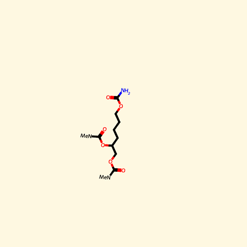 CNC(=O)OCC(CCCCOC(N)=O)OC(=O)NC